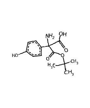 CC(C)(C)OC(=O)C(N)(C(=O)O)c1ccc(O)cc1